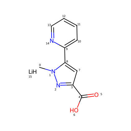 Cn1nc(C(=O)O)cc1-c1ccccn1.[LiH]